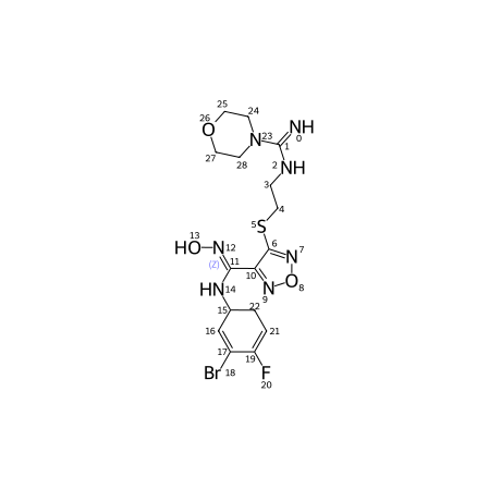 N=C(NCCSc1nonc1/C(=N/O)NC1C=C(Br)C(F)=CC1)N1CCOCC1